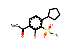 COC(=O)c1ccc(C2CCCC2)c(S(C)(=O)=O)c1Br